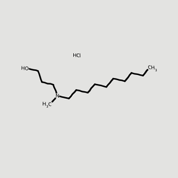 CCCCCCCCCCN(C)CCCO.Cl